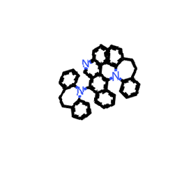 c1ccc2c(c1)CCc1ccccc1N2c1c2ccccc2c(N2c3ccccc3CCc3ccccc32)c2c1cnc1ccccc12